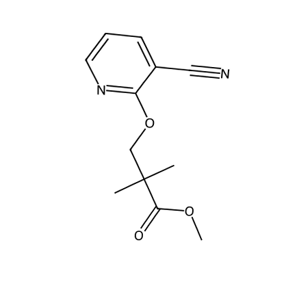 COC(=O)C(C)(C)COc1ncccc1C#N